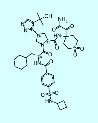 CC(C)(O)c1cnnn1[C@H]1C[C@@H](C(=O)NC2(C(=O)C(N)=O)CCS(=O)(=O)CC2)N(C(=O)[C@@H](CC2CCCCC2)NC(=O)c2ccc(S(=O)(=O)NC3CCC3)cc2)C1